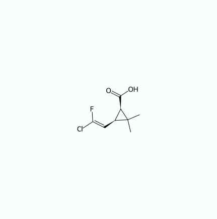 CC1(C)[C@H](C(=O)O)[C@@H]1/C=C(\F)Cl